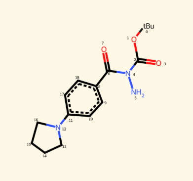 CC(C)(C)OC(=O)N(N)C(=O)c1ccc(N2CCCC2)cc1